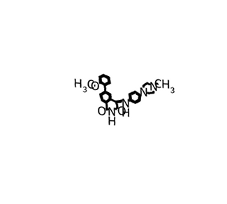 COc1ccccc1-c1ccc2c(c1)/C(=C/Nc1ccc(N3CCN(C)CC3)cc1)C(=O)NC2=O